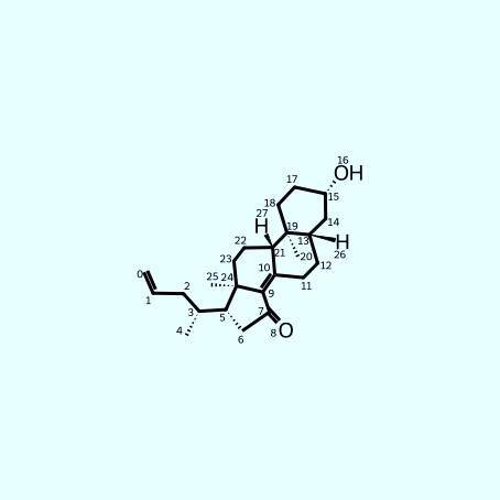 C=CC[C@@H](C)[C@H]1CC(=O)C2=C3CC[C@H]4C[C@@H](O)CC[C@]4(C)[C@H]3CC[C@@]21C